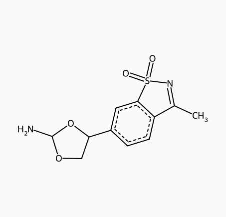 CC1=NS(=O)(=O)c2cc(C3COC(N)O3)ccc21